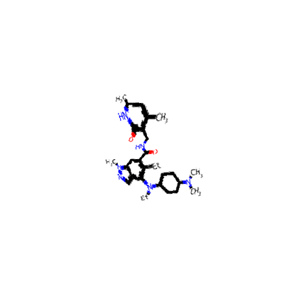 CCc1c(C(=O)NCc2c(C)cc(C)[nH]c2=O)cc2c(cnn2C)c1N(CC)C1CCC(N(C)C)CC1